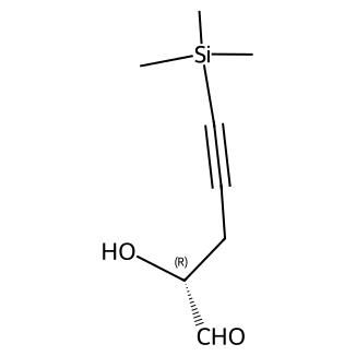 C[Si](C)(C)C#CC[C@@H](O)C=O